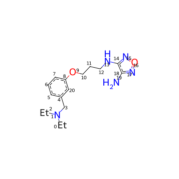 CCN(CC)Cc1cccc(OCCCNc2nonc2N)c1